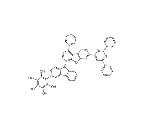 Oc1c(O)c(O)c(-c2ccc3c(c2)c2ccccc2n3-c2ccc(-c3ccccc3)c3c2oc2cc(-c4nc(-c5ccccc5)nc(-c5ccccc5)n4)ccc23)c(O)c1O